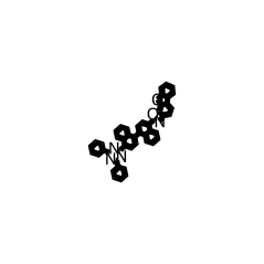 c1ccc(-c2nc(-c3ccccc3)nc(-c3ccc(-c4ccc(-c5nc6ccc7c8ccccc8oc7c6o5)c5ccccc45)c4ccccc34)n2)cc1